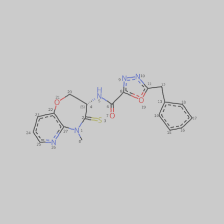 CN1C(=S)[C@@H](NC(=O)c2nnc(Cc3ccccc3)o2)COc2cccnc21